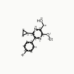 CCOc1nc(-c2ccc(F)cc2)c(C2CC2)nc1CO